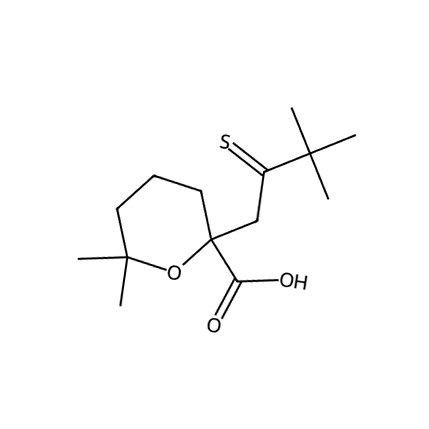 CC1(C)CCCC(CC(=S)C(C)(C)C)(C(=O)O)O1